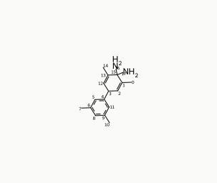 CC1=CC(c2cc(C)cc(C)c2)C=C(C)C1(N)N